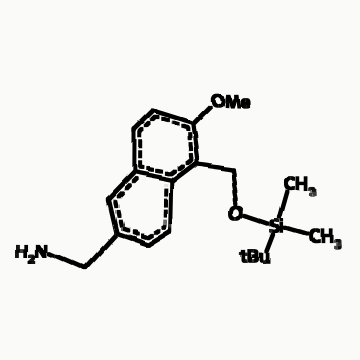 COc1ccc2cc(CN)ccc2c1CO[Si](C)(C)C(C)(C)C